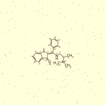 CC(CNC(=C1Sc2ccccc2C1=O)c1ccccc1)N(C)C